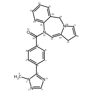 Cn1ncnc1-c1ccc(C(=O)N2C=C3CC=CN3Cc3ccccc32)cc1